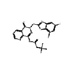 CC(C)(C)CC(=O)Oc1nn(Cc2nc3cc(F)cc(F)c3s2)c(=O)c2cccnc12